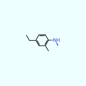 CCc1ccc(NC)c(C)c1